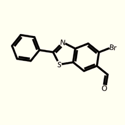 O=Cc1cc2sc(-c3ccccc3)nc2cc1Br